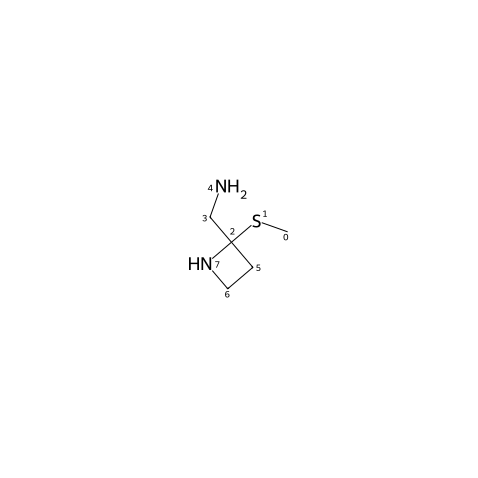 CSC1(CN)CCN1